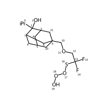 CC(C)C1(O)C2CC3CC1CC(COCC(F)(F)SOOO)(C3)C2